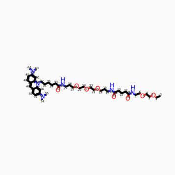 CCOCCOCCNC(=O)CCCC(=O)NCCCOCCOCCOCCCNC(=O)CCCCC[n+]1c2cc(N(C)C)ccc2cc2ccc(N(C)C)cc21